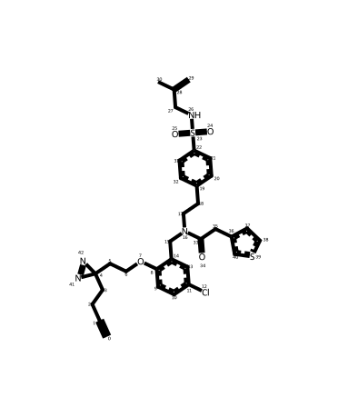 C#CCCC1(CCOc2ccc(Cl)cc2CN(CCc2ccc(S(=O)(=O)NCC(=C)C)cc2)C(=O)Cc2ccsc2)N=N1